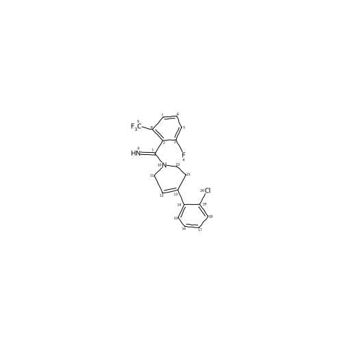 N=C(c1c(F)cccc1C(F)(F)F)N1CC=C(c2ccccc2Cl)CC1